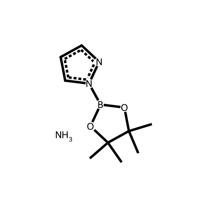 CC1(C)OB(n2cccn2)OC1(C)C.N